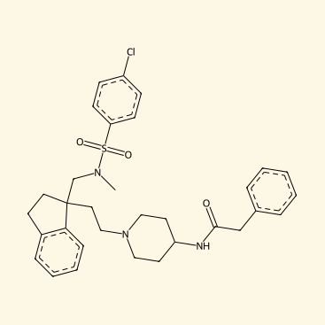 CN(CC1(CCN2CCC(NC(=O)Cc3ccccc3)CC2)CCc2ccccc21)S(=O)(=O)c1ccc(Cl)cc1